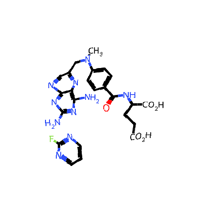 CN(Cc1cnc2nc(N)nc(N)c2n1)c1ccc(C(=O)NC(CCC(=O)O)C(=O)O)cc1.Fc1ncccn1